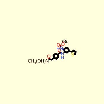 CN(O)C(=O)Cc1ccc(C(=O)Nc2cc(-c3cccs3)ccc2NC(=O)OC(C)(C)C)cc1